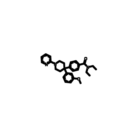 CCN(CC)C(=O)c1ccc(C2(c3cccc(OC)c3)CCN(c3ccccn3)CC2)cc1